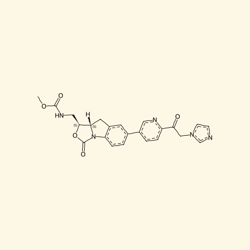 COC(=O)NC[C@@H]1OC(=O)N2c3ccc(-c4ccc(C(=O)Cn5ccnc5)nc4)cc3C[C@@H]12